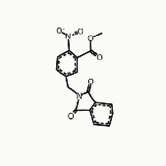 COC(=O)c1cc(CN2C(=O)c3ccccc3C2=O)ccc1[N+](=O)[O-]